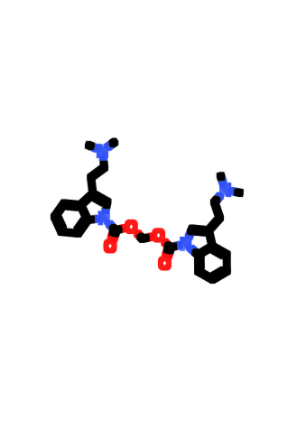 CN(C)CCc1cn(C(=O)OCOC(=O)n2cc(CCN(C)C)c3ccccc32)c2ccccc12